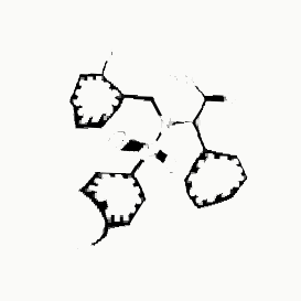 NC(=O)[C@@H](c1ccccc1)N(Cc1ccccc1F)S(=O)(=O)c1ccc(Cl)cc1